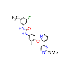 CNc1nccc(-c2cccnc2Oc2ccc(NC(=O)Nc3cc(F)cc(C(F)(F)F)c3)cc2C)n1